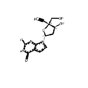 C#C[C@]1(CO)O[C@@H](n2ccc3c(=O)[nH]c(Cl)nc32)C[C@@H]1O